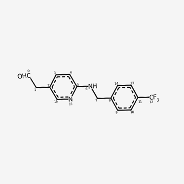 O=CCc1ccc(NCc2ccc(C(F)(F)F)cc2)nc1